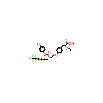 CCOC(Cc1ccc(OCCN(CC(F)(F)C(F)(F)C(F)(F)C(F)(F)C(F)(F)F)C(=O)Oc2ccc(Cl)cc2)cc1)C(=O)O